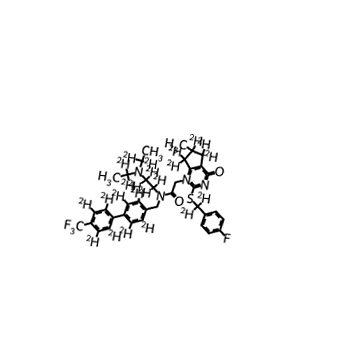 [2H]c1c([2H])c(-c2c([2H])c([2H])c(C(F)(F)F)c([2H])c2[2H])c([2H])c([2H])c1CN(C(=O)Cn1c(SC([2H])([2H])c2ccc(F)cc2)nc(=O)c2c1C([2H])([2H])C([2H])(C)C2([2H])[2H])C([2H])([2H])C([2H])([2H])N(C([2H])([2H])C)C([2H])([2H])C